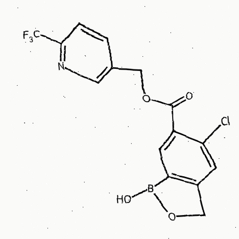 O=C(OCc1ccc(C(F)(F)F)nc1)c1cc2c(cc1Cl)COB2O